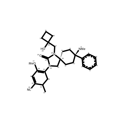 CN[C@]1(c2ccccc2)CC[C@]2(CC1)CN(C1=C(OC)C=C(C#N)C(C)C1)C(=O)N2CC1(O)CCC1